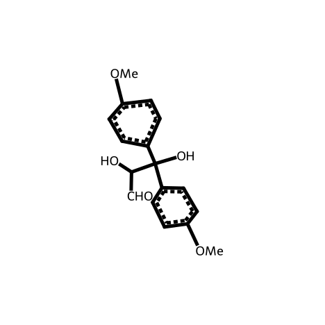 COc1ccc(C(O)(c2ccc(OC)cc2)C(O)C=O)cc1